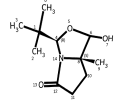 CC(C)(C)[C@H]1OC(O)[C@]2(C)CCC(=O)N12